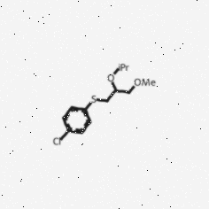 COCC(CSc1ccc(Cl)cc1)OC(C)C